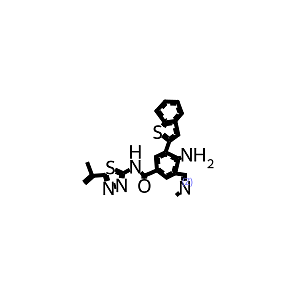 C=C(C)c1nnc(NC(=O)c2cc(/C=N\C)c(N)c(-c3cc4ccccc4s3)c2)s1